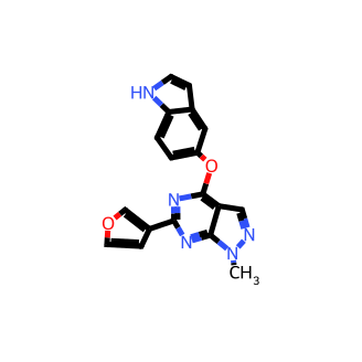 Cn1ncc2c(Oc3ccc4[nH]ccc4c3)nc(-c3ccoc3)nc21